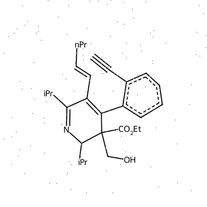 C#Cc1ccccc1C1=C(C=CCCC)C(C(C)C)=NC(C(C)C)C1(CO)C(=O)OCC